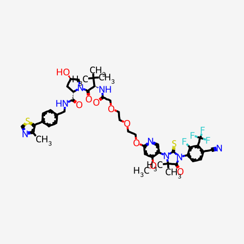 COc1cc(OCCOCCOCC(=O)N[C@H](C(=O)N2C[C@H](O)C[C@H]2C(=O)NCc2ccc(-c3scnc3C)cc2)C(C)(C)C)ncc1N1C(=S)N(c2ccc(C#N)c(C(F)(F)F)c2F)C(=O)C1(C)C